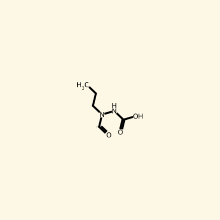 CCCN([C]=O)NC(=O)O